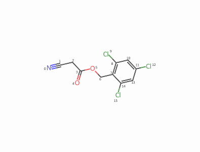 N#CCC(=O)OCc1c(Cl)cc(Cl)cc1Cl